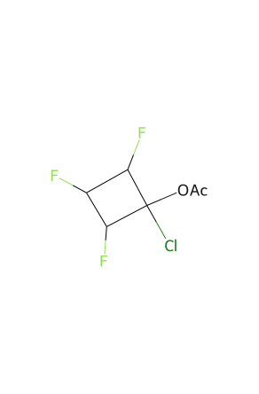 CC(=O)OC1(Cl)C(F)C(F)C1F